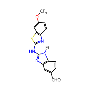 CCn1c(Nc2nc3ccc(OC(F)(F)F)cc3s2)nc2cc(C=O)ccc21